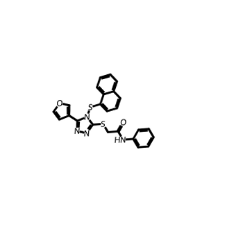 O=C(CSc1nnc(-c2ccoc2)n1Sc1cccc2ccccc12)Nc1ccccc1